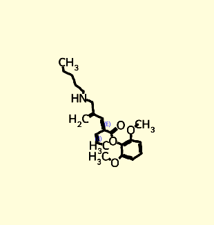 C=C(/C=C(\C=C/C)C(=O)Oc1c(OC)cccc1OC)CNCCCCC